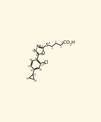 O=C(O)CCCSc1nnc(-c2ccc(C3CC3)cc2Cl)o1